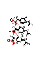 CC(C)Cc1ccc(C(C)C(=O)[O-])cc1.CC(C)Cc1ccc(C(C)C(=O)[O-])cc1.CC(C)Cc1ccc(C(C)C(=O)[O-])cc1.[Al+3]